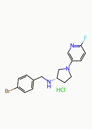 Cl.Fc1ccc(N2CC[C@H](NCc3ccc(Br)cc3)C2)cn1